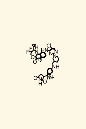 Cn1nc(C2CCC(=O)NC2=O)c2ccc(NCC3CCCN(c4ncc(Cl)c(Nc5ccc6c(c5)c5c(c(=O)n6C)OCC(F)(F)C(C6CC6)N5)n4)C3)cc21